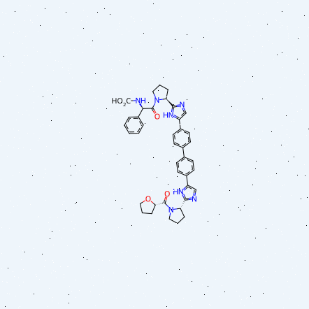 O=C(O)N[C@@H](C(=O)N1CCC[C@H]1c1ncc(-c2ccc(-c3ccc(-c4cnc([C@@H]5CCCN5C(=O)[C@@H]5CCCO5)[nH]4)cc3)cc2)[nH]1)c1ccccc1